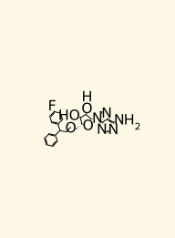 Nc1ncnc2c1ncn2[C@@H]1O[C@H](COCC(c2ccccc2)c2ccc(F)cc2)[C@@H](O)[C@H]1O